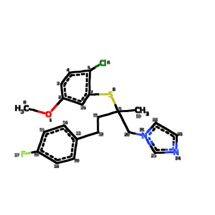 COc1ccc(Cl)c(SC(C)(CCc2ccc(F)cc2)Cn2ccnc2)c1